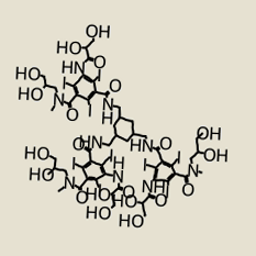 CN(CC(O)CO)C(=O)c1c(I)c(NC(=O)C(O)CO)c(I)c(C(=O)NCC2CC(CNC(=O)c3c(I)c(NC(=O)C(O)CO)c(I)c(C(=O)N(C)CC(O)CO)c3I)CC(CNC(=O)c3c(I)c(NC(=O)C(O)CO)c(I)c(C(=O)N(C)CC(O)CO)c3I)C2)c1I